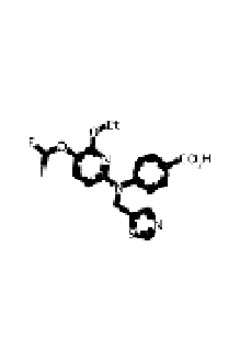 CCOc1nc(N(Cc2cncs2)c2ccc(C(=O)O)cc2)ccc1OC(F)F